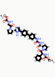 COC(=O)NCC(=O)N1CCC[C@H]1c1ncc(-c2ccc(-c3ccc(NC(=O)NC(=O)[C@@H]4CCCN4C(=O)[C@H](NC(=O)OC)c4ccccc4)cc3)cc2)[nH]1